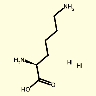 I.I.NCCCC[C@H](N)C(=O)O